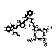 CCCC(C)[N+]1=C(/C=C/C2=C(Cl)C(=C/C=C3/N(CCCNC(=O)CN4CCN(COC=O)CCN(COC=O)CCN(CC(=O)O)CC4)c4ccccc4C3(C)C)/CCC2)C(C)(C)c2ccccc21